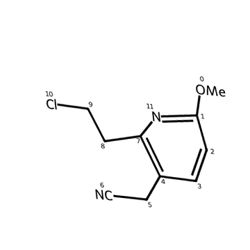 COc1ccc(CC#N)c(CCCl)n1